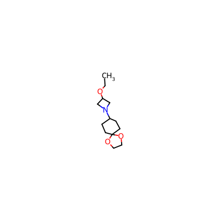 CCOC1CN(C2CCC3(CC2)OCCO3)C1